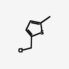 Cc1ccc(CCl)s1